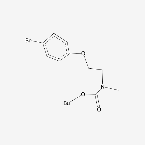 CCC(C)OC(=O)N(C)CCOc1ccc(Br)cc1